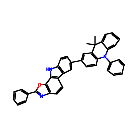 CC1(C)c2ccccc2N(c2ccccc2)c2ccc(-c3ccc4[nH]c5c(ccc6nc(-c7ccccc7)oc65)c4c3)cc21